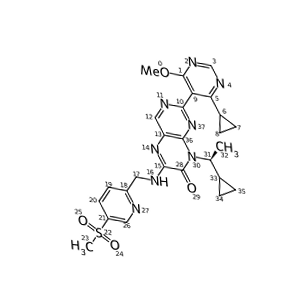 COc1ncnc(C2CC2)c1-c1ncc2nc(NCc3ccc(S(C)(=O)=O)cn3)c(=O)n([C@@H](C)C3CC3)c2n1